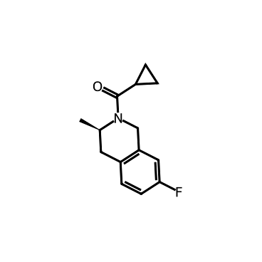 C[C@@H]1Cc2ccc(F)cc2CN1C(=O)C1CC1